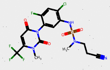 CN(CCC#N)S(=O)(=O)Nc1cc(-n2c(=O)cc(C(F)(F)F)n(C)c2=O)c(F)cc1Cl